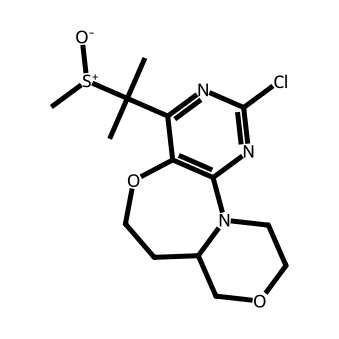 C[S+]([O-])C(C)(C)c1nc(Cl)nc2c1OCCC1COCCN21